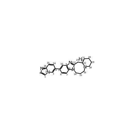 c1cn2cc(-c3ccc4c(c3)nc3n4CCCN4CCCC[C@@H]4C3)ccc2n1